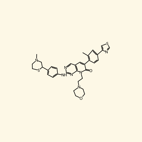 Cc1cc(-c2cscn2)ccc1-c1cc2cnc(Nc3ccc(C4CN(C)CCS4)cc3)nc2n(CCN2CCOCC2)c1=O